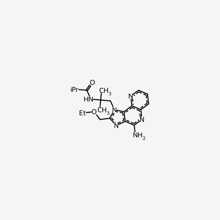 CCOCc1nc2c(N)nc3cccnc3c2n1CC(C)(C)NC(=O)C(C)C